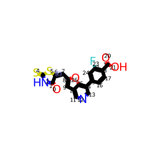 O=C1NC(=S)S/C1=C/c1cc2cncc(-c3ccc(C(=O)O)c(F)c3)c2o1